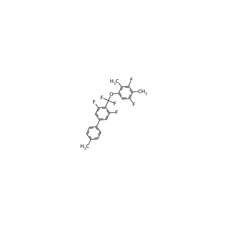 Cc1ccc(-c2cc(F)c(C(F)(F)Oc3cc(F)c(C)c(F)c3C)c(F)c2)cc1